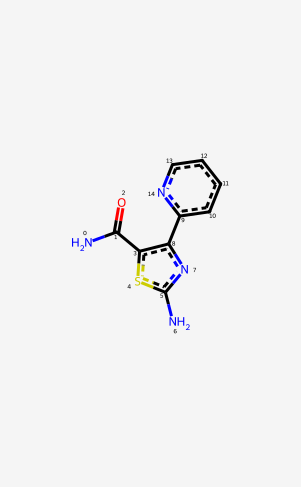 NC(=O)c1sc(N)nc1-c1ccccn1